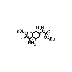 CCCCOC(=O)C(N)C1CCC(C(N)C(=O)OCCCC)CC1